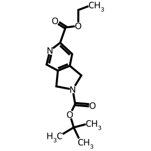 CCOC(=O)c1cc2c(cn1)CN(C(=O)OC(C)(C)C)C2